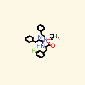 CCOC(=O)C(Cc1cccc(F)c1)Nc1ncc(-c2ccccc2)nc1Cc1ccccc1